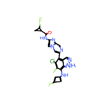 O=C(Nc1cn2cc(-c3c(Cl)c(F)c(NC4CC(F)C4)c4[nH]ncc34)ncc2n1)C1CC1F